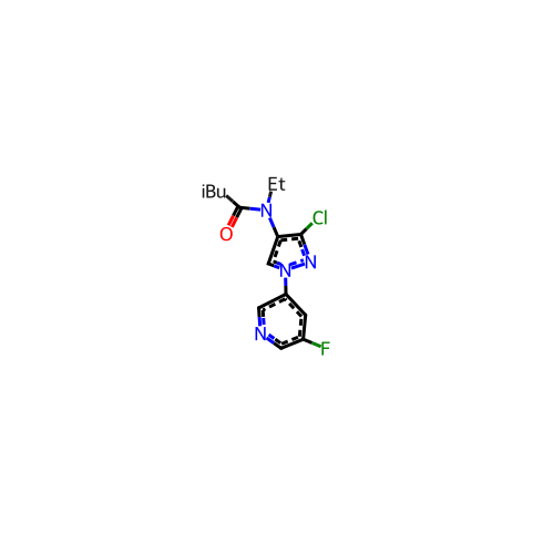 CCC(C)C(=O)N(CC)c1cn(-c2cncc(F)c2)nc1Cl